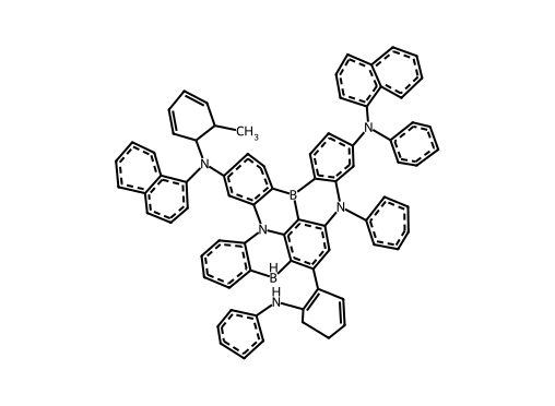 CC1C=CC=CC1N(c1ccc2c(c1)N1c3ccccc3Bc3c(C4=C(Nc5ccccc5)CCC=C4)cc4c(c31)B2c1ccc(N(c2ccccc2)c2cccc3ccccc23)cc1N4c1ccccc1)c1cccc2ccccc12